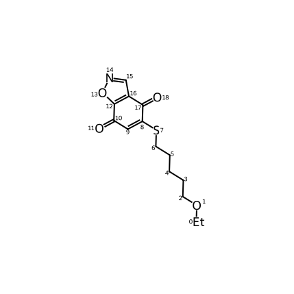 CCOCCCCCSC1=CC(=O)c2oncc2C1=O